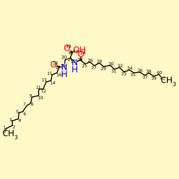 CCCCCCCCCCCCCCCCCC(=O)NC[C@H](NC(=O)CCCCCCCCCCCCCCCCC)C(=O)O